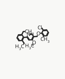 CCc1cccc(CC)c1-c1cc(OC)c(COc2c(C)cccc2Cl)cn1